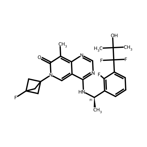 Cc1c(=O)n(C23CC(F)(C2)C3)cc2c(N[C@H](C)c3cccc(C(F)(F)C(C)(C)O)c3F)ncnc12